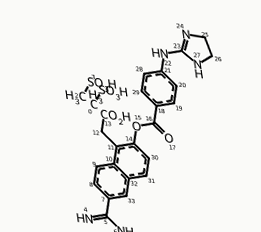 CS(=O)(=O)O.CS(=O)(=O)O.N=C(N)c1ccc2c(CC(=O)O)c(OC(=O)c3ccc(NC4=NCCN4)cc3)ccc2c1